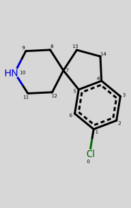 Clc1ccc2c(c1)C1(CCNCC1)CC2